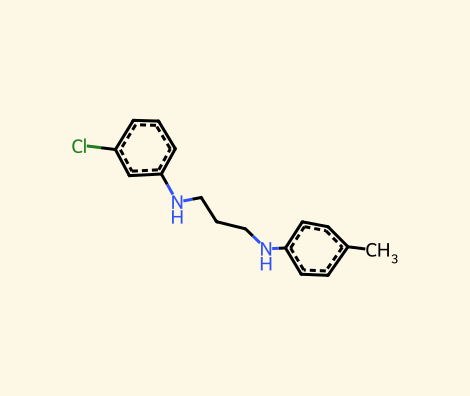 Cc1ccc(NCCCNc2cccc(Cl)c2)cc1